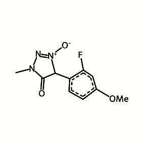 COc1ccc(C2C(=O)N(C)N=[N+]2[O-])c(F)c1